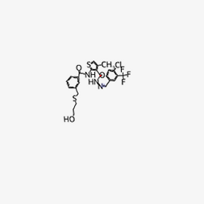 Cc1csc(NC(=O)c2cccc(CSCCCO)c2)c1C(=O)N/N=C\c1ccc(Cl)c(C(F)(F)F)c1